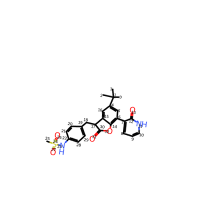 CC(C)(C)c1cc(-c2ccc[nH]c2=O)c2c(c1)C(Cc1ccc(NS(C)(=O)=O)cc1)C(=O)O2